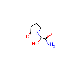 NC(=O)C(O)N1CCCC1=O